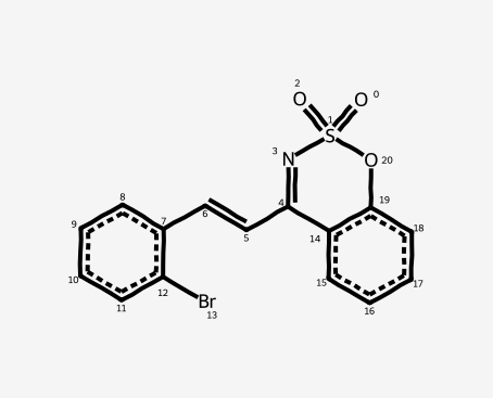 O=S1(=O)N=C(C=Cc2ccccc2Br)c2ccccc2O1